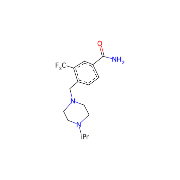 CC(C)N1CCN(Cc2ccc(C(N)=O)cc2C(F)(F)F)CC1